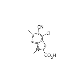 Cc1cc2c(cc(C(=O)O)n2C)c(Cl)c1C#N